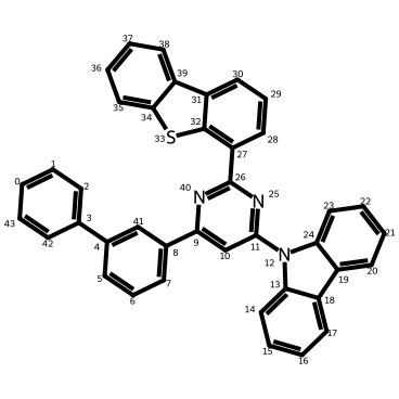 c1ccc(-c2cccc(-c3cc(-n4c5ccccc5c5ccccc54)nc(-c4cccc5c4sc4ccccc45)n3)c2)cc1